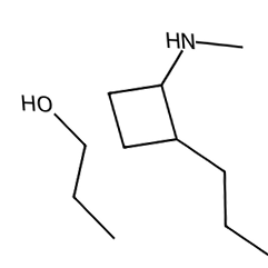 CCCC1CCC1NC.CCCO